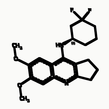 COc1cc2nc3c(c(N[C@@H]4CCCC(F)(F)C4)c2cc1OC)CCC3